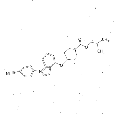 CC(C)COC(=O)N1CCC(Oc2cccc3c2ccn3-c2ccc(C#N)cc2)CC1